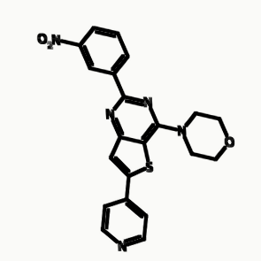 O=[N+]([O-])c1cccc(-c2nc(N3CCOCC3)c3sc(-c4ccncc4)cc3n2)c1